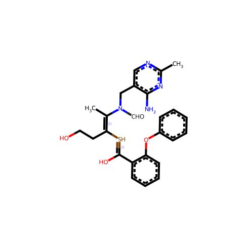 C/C(=C(CCO)/[SH]=C(\O)c1ccccc1Oc1ccccc1)N(C=O)Cc1cnc(C)nc1N